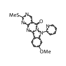 COc1ccc2c(c1)n(-c1ccccn1)n1c(=O)c3cnc(SC)nc3nc21